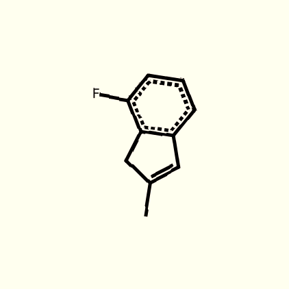 CC1=Cc2cccc(F)c2C1